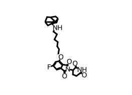 O=C1CCC(N2C(=O)c3cc(F)cc(OCCCCCCCNC45CC6CC(CC(C6)C4)C5)c3C2=O)C(=O)N1